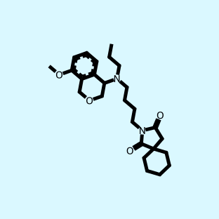 CCCN(CCCCN1C(=O)CC2(CCCCC2)C1=O)C1COCc2c(OC)cccc21